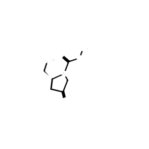 COC[C@@H]1CC(=O)CN1C(=O)OC(C)(C)C